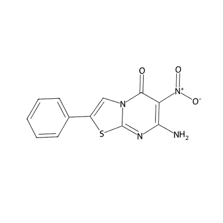 Nc1nc2sc(-c3ccccc3)cn2c(=O)c1[N+](=O)[O-]